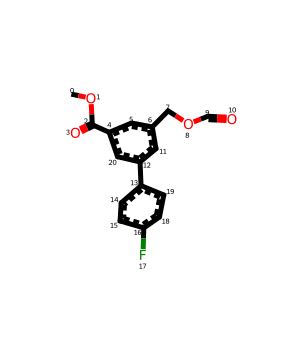 COC(=O)c1cc(COC=O)cc(-c2ccc(F)cc2)c1